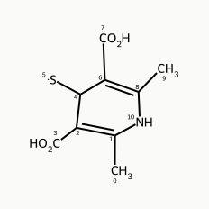 CC1=C(C(=O)O)C([S])C(C(=O)O)=C(C)N1